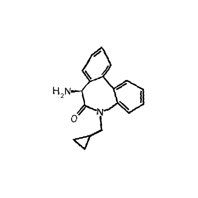 N[C@@H]1C(=O)N(CC2CC2)c2ccccc2-c2ccccc21